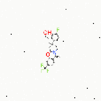 C[C@@H](c1ccc(C(F)(F)F)cc1)N1CCC(CCCO)(c2ccc(F)cc2)CC1=O